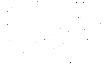 CCNC1COCC(OC)C1